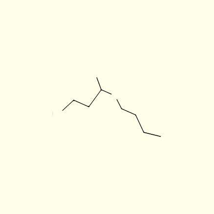 CCCCOC(C)CCO